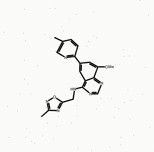 COc1cc(-c2ccc(C)cn2)cc2c(NCc3nc(C)no3)ncnc12